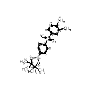 Cc1cc(S(=O)(=O)c2ccc(B3OC(C)(C)C(C)(C)O3)cc2)cnc1N